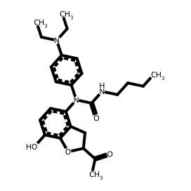 CCCCNC(=O)N(c1ccc(N(CC)CC)cc1)c1ccc(O)c2c1CC(C(C)=O)O2